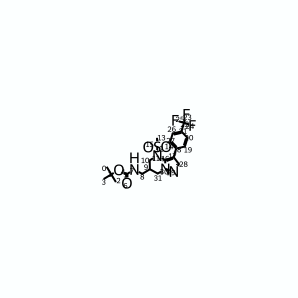 CC(C)(C)OC(=O)NCC1CN(S(C)(=O)=O)c2c(-c3ccc(C(F)(F)F)cc3)cnn2C1